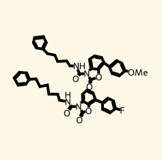 COc1ccc(-c2cccc3c2oc(=O)n3C(=O)NCCCCCc2ccccc2)cc1.O=C(NCCCCCCc1ccccc1)n1c(=O)oc2c(-c3ccc(F)cc3)cccc21